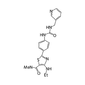 CCNc1nc(-c2ccc(NC(=O)NCc3cccnc3)cc2)sc1C(=O)NC